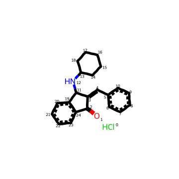 Cl.O=C1C(=Cc2ccccc2)C(NC2CCCCC2)c2ccccc21